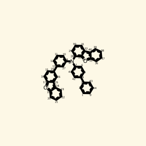 c1ccc(-c2ccc(N(c3cccc(-c4ccc5oc6ccccc6c5c4)c3)c3cccc4c3oc3ccccc34)cc2)cc1